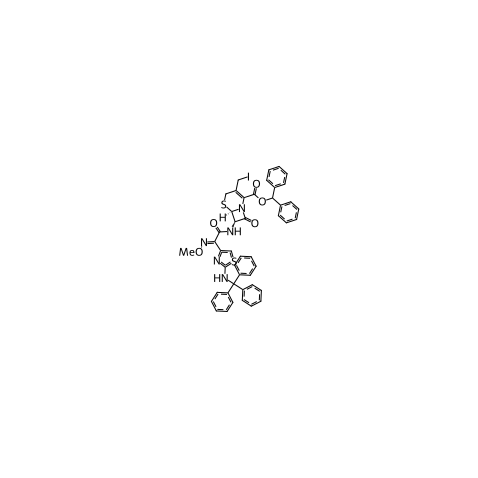 CO/N=C(/C(=O)N[C@@H]1C(=O)N2C(C(=O)OC(c3ccccc3)c3ccccc3)=C(CI)CS[C@H]12)c1csc(NC(c2ccccc2)(c2ccccc2)c2ccccc2)n1